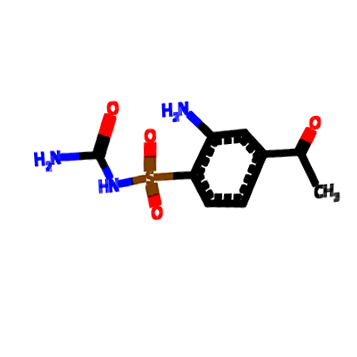 CC(=O)c1ccc(S(=O)(=O)NC(N)=O)c(N)c1